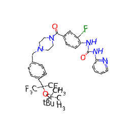 CC(C)(C)[Si](C)(C)OC(c1ccc(CN2CCN(C(=O)c3ccc(NC(=O)Nc4ccccn4)c(F)c3)CC2)cc1)(C(F)(F)F)C(F)(F)F